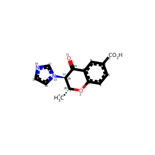 C[C@H]1Oc2ccc(C(=O)O)cc2C(=O)[C@@H]1n1ccnc1